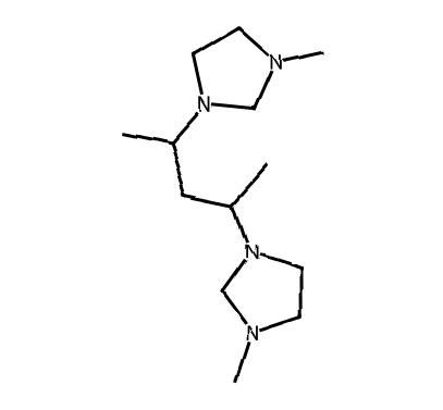 CC(CC(C)N1CCN(C)C1)N1CCN(C)C1